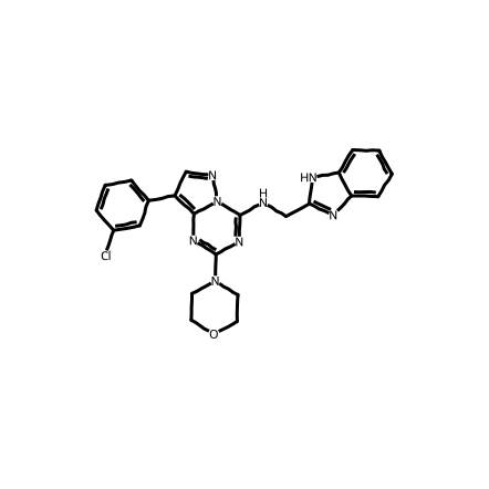 Clc1cccc(-c2cnn3c(NCc4nc5ccccc5[nH]4)nc(N4CCOCC4)nc23)c1